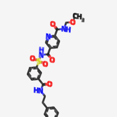 COCNC(=O)c1ccc(C(=O)NS(=O)(=O)c2cccc(C(=O)NCCc3ccccc3)c2)cn1